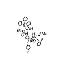 CSCC[C@H](NC(=O)c1cc(N(C[C@@H]2C[C@H](SC(c3ccccc3)(c3ccccc3)c3ccccc3)CN2)C(=O)OC(C)(C)C)ccc1CCc1ccc(F)cc1)C(O)Cc1ccccc1F